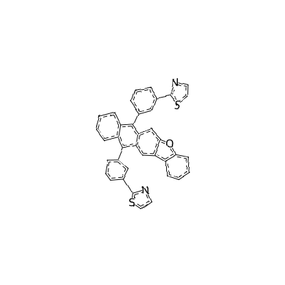 c1cc(-c2nccs2)cc(-c2c3ccccc3c(-c3cccc(-c4nccs4)c3)c3cc4c(cc23)oc2ccccc24)c1